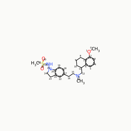 COc1cccc2c1CCCC2CN(C)CCc1ccc2c(c1)CCN2NS(C)(=O)=O